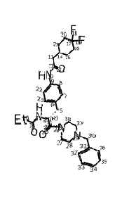 CCC(=O)N[C@H](Cc1ccc(NC(=O)CC2CCC(F)(F)CC2)cc1)C(=O)N1CCN(Cc2ccccc2)CC1